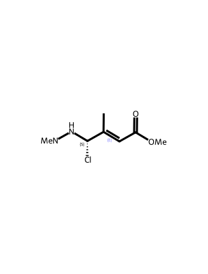 CNN[C@@H](Cl)/C(C)=C/C(=O)OC